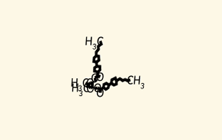 CCCCCC1CCC(C2CCC(C(=O)OC[C@H]3OC(C)(C)O[C@@H]3COC(=O)C3CCC(C4CCC(CCCCC)CC4)CC3)CC2)CC1